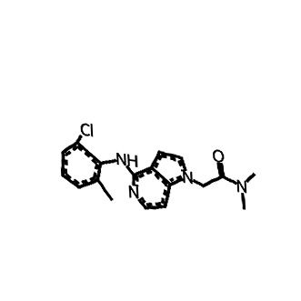 Cc1cccc(Cl)c1Nc1nccc2c1ccn2CC(=O)N(C)C